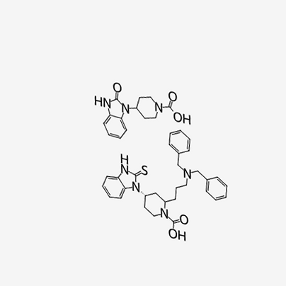 O=C(O)N1CCC(n2c(=O)[nH]c3ccccc32)CC1.O=C(O)N1CC[C@H](n2c(=S)[nH]c3ccccc32)CC1CCCN(Cc1ccccc1)Cc1ccccc1